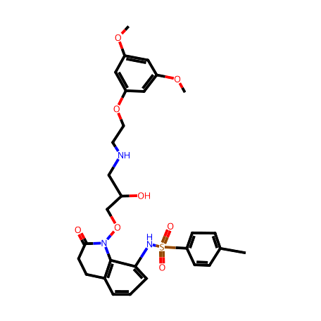 COc1cc(OC)cc(OCCNCC(O)CON2C(=O)CCc3cccc(NS(=O)(=O)c4ccc(C)cc4)c32)c1